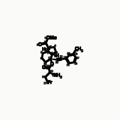 COC(=O)N1CC[C@@H]2[C@H]1CCC[C@]2(C#Cc1cccc(C)c1)OC(=O)[C@@H](N)CC(C)C